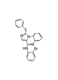 Brc1ccccc1Nc1nc2ccccc2n2c(Sc3ccccc3)ncc12